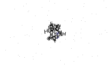 CC(/N=C\C1CCN(C2COC2)C[C@@H]1F)=C(/N=N)c1cc(OC[C@@](C)(O)c2ncc(F)cn2)c2c(Cl)cnn2c1